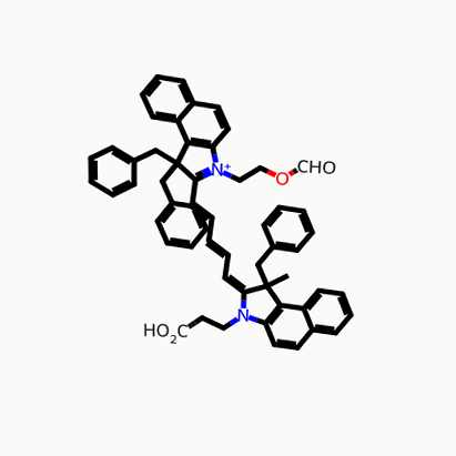 CC1(Cc2ccccc2)\C(=C/C=C/C=C/C2=[N+](CCOC=O)c3ccc4ccccc4c3C2(Cc2ccccc2)Cc2ccccc2)N(CCC(=O)O)c2ccc3ccccc3c21